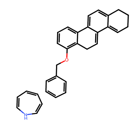 C1=CC=CNC=C1.C1=c2c(ccc3c2=CCc2c(OCc4ccccc4)cccc2-3)CCC1